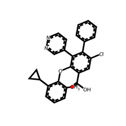 Cc1cccc(C2CC2)c1Oc1c(C(=O)O)cc(Cl)c(-c2ccccc2)c1-c1ccnnc1